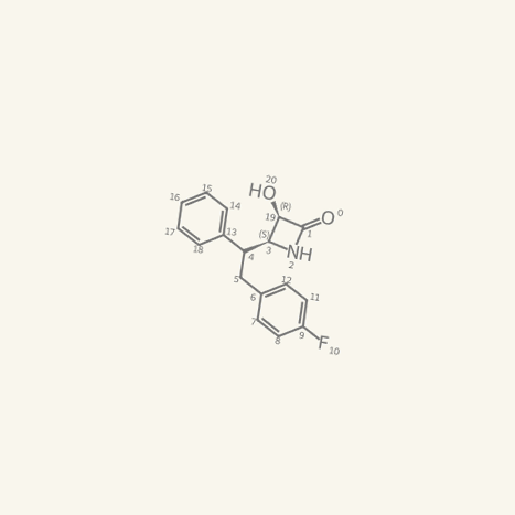 O=C1N[C@@H](C(Cc2ccc(F)cc2)c2ccccc2)[C@H]1O